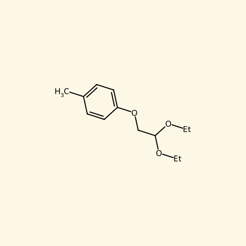 CCOC(COc1ccc(C)cc1)OCC